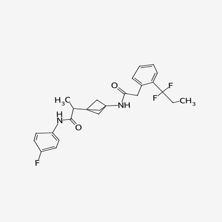 CCC(F)(F)c1ccccc1CC(=O)NC12CC(C(C)C(=O)Nc3ccc(F)cc3)(C1)C2